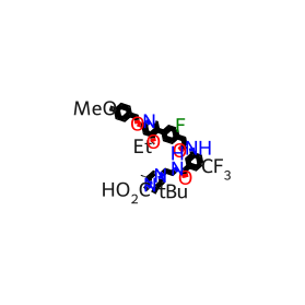 CCOc1cc(OCc2ccc(OC)cc2)ncc1-c1ccc(CC(=O)Nc2cc(C(=O)NCCN3C[C@@H](C)N(C(=O)O)[C@@](C)(C(C)(C)C)C3)cc(C(F)(F)F)c2)c(F)c1